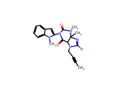 CC#CCN1C(Br)=NC2(C)C1C(=O)N(c1cc3ccccc3n1C)C(=O)N2C